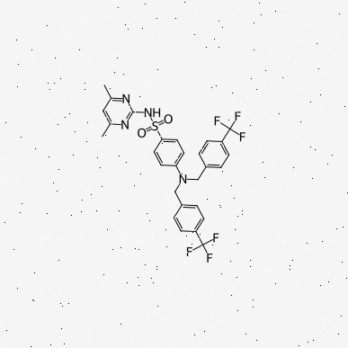 Cc1cc(C)nc(NS(=O)(=O)c2ccc(N(Cc3ccc(C(F)(F)F)cc3)Cc3ccc(C(F)(F)F)cc3)cc2)n1